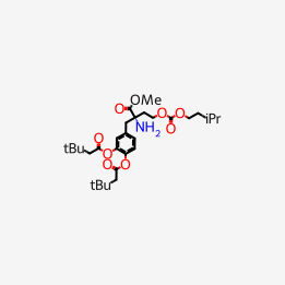 COC(=O)[C@@](N)(CCOC(=O)OCCC(C)C)Cc1ccc(OC(=O)CC(C)(C)C)c(OC(=O)CC(C)(C)C)c1